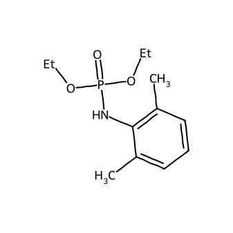 CCOP(=O)(Nc1c(C)cccc1C)OCC